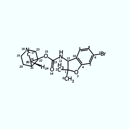 CC1(C)Oc2cc(Br)ccc2C1NC(=O)O[C@H]1CN2CCC1CC2